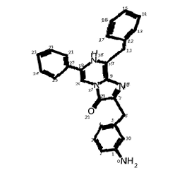 Nc1cccc(Cc2nc3c(Cc4ccccc4)[nH]c(-c4ccccc4)cn-3c2=O)c1